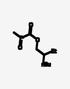 CCCCC(CC)COC(=O)[P](C)=O